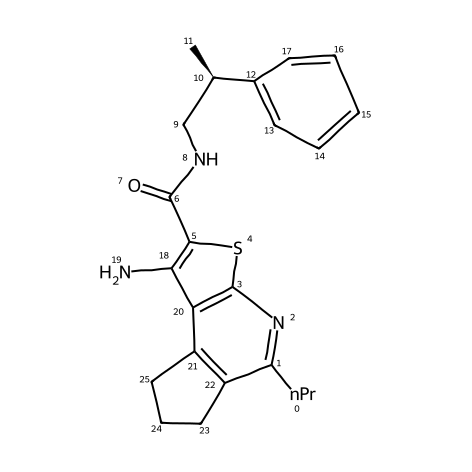 CCCc1nc2sc(C(=O)NC[C@@H](C)c3ccccc3)c(N)c2c2c1CCC2